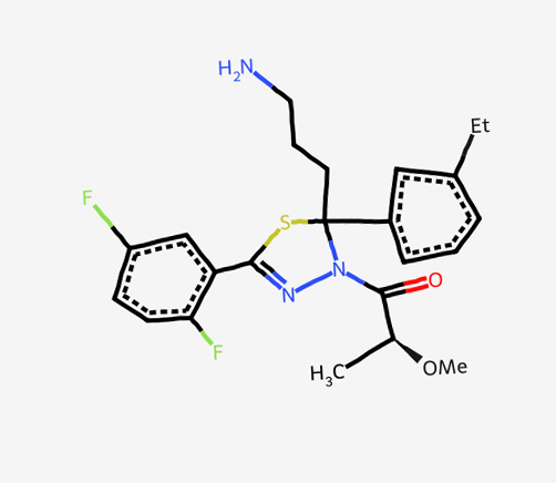 CCc1cccc(C2(CCCN)SC(c3cc(F)ccc3F)=NN2C(=O)[C@H](C)OC)c1